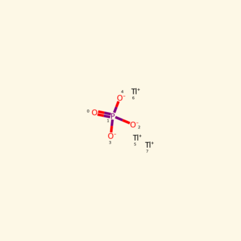 O=P([O-])([O-])[O-].[Tl+].[Tl+].[Tl+]